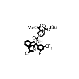 COC(=O)C1CN(C(=O)N[C@](Cc2ccccc2)(c2cc(F)cc(C(F)(F)F)c2)c2ccc(Cl)cn2)CCN1C(=O)OC(C)(C)C